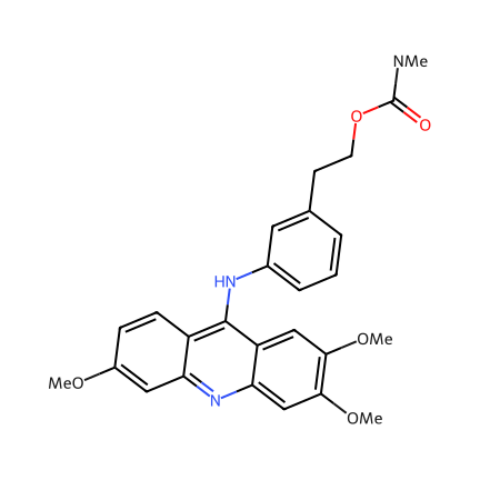 CNC(=O)OCCc1cccc(Nc2c3ccc(OC)cc3nc3cc(OC)c(OC)cc23)c1